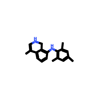 CC1=CNCc2c(Nc3c(C)cc(C)cc3C)cccc21